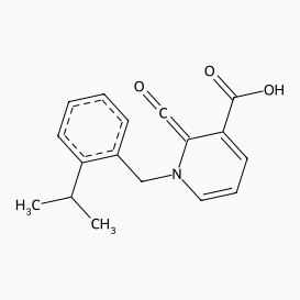 CC(C)c1ccccc1CN1C=CC=C(C(=O)O)C1=C=O